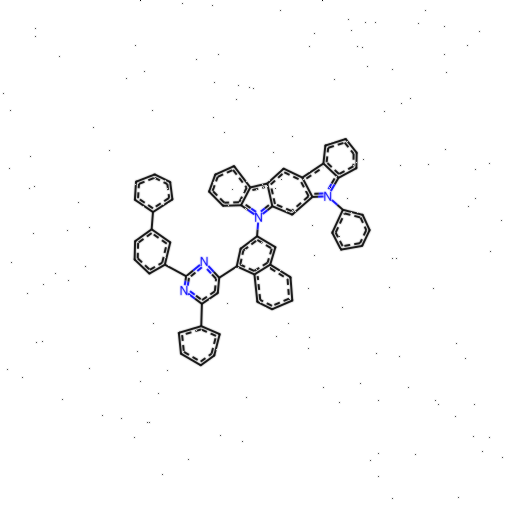 c1ccc(-c2cccc(-c3nc(-c4ccccc4)cc(-c4cc(-n5c6ccccc6c6cc7c8ccccc8n(-c8ccccc8)c7cc65)cc5ccccc45)n3)c2)cc1